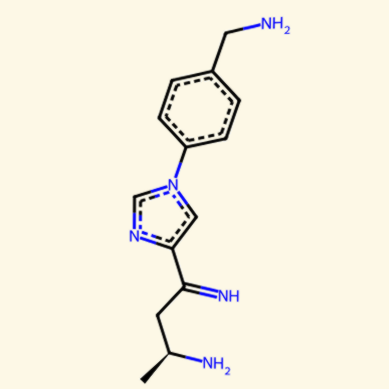 C[C@H](N)CC(=N)c1cn(-c2ccc(CN)cc2)cn1